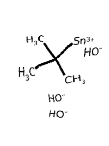 C[C](C)(C)[Sn+3].[OH-].[OH-].[OH-]